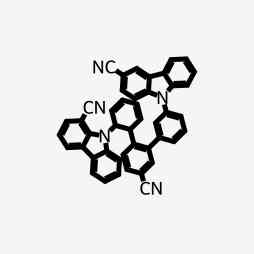 N#Cc1ccc(C2C=CC=CC2n2c3ccccc3c3cccc(C#N)c32)c(-c2cccc(-n3c4ccccc4c4cc(C#N)ccc43)c2)c1